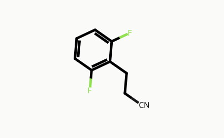 N#CCCc1c(F)cccc1F